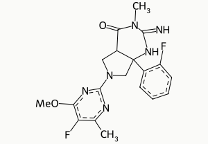 COc1nc(N2CC3C(=O)N(C)C(=N)NC3(c3ccccc3F)C2)nc(C)c1F